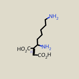 NCCCCCC(N)/C(=C\C(=O)O)C(=O)O